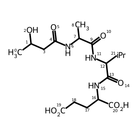 CC(O)CC(=O)NC(C)C(=O)NC(C(=O)NC(CCC(=O)O)C(=O)O)C(C)C